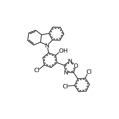 Oc1c(-c2noc(-c3c(Cl)cccc3Cl)n2)cc(Cl)cc1N1c2ccccc2C2C=CC=CC21